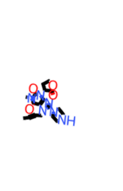 CC#CCn1c(N2CCNCC2)nc2c1c(=O)n(C)c(=O)n2C1CCOC1=O